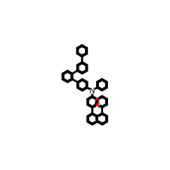 c1ccc(-c2cccc(-c3ccccc3-c3ccc(N(c4ccccc4)c4ccc(-c5cccc6cccc(-c7ccccn7)c56)cc4)cc3)c2)cc1